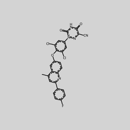 Cc1cc(-c2ccc(F)cc2)nc2ccc(Oc3c(Cl)cc(-n4nc(C#N)c(=O)[nH]c4=O)cc3Cl)cc12